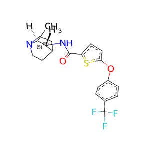 C[C@H]1[C@H](NC(=O)c2ccc(Oc3ccc(C(F)(F)F)cc3)s2)C2CCN1CC2